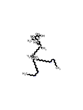 CCCCC/C=C\C/C=C\CCCCCCCCOC(CCCCCCC/C=C\C/C=C\CCCCC)O[Si](C)(C)OCCCCCCN(C)Cc1cn(C2O[C@H](CO)[C@@H](O)[C@H](O)[C@H]2NC(C)=O)nn1